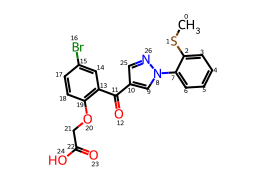 CSc1ccccc1-n1cc(C(=O)c2cc(Br)ccc2OCC(=O)O)cn1